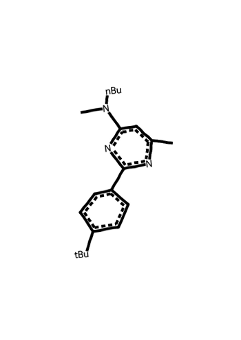 CCCCN(C)c1cc(C)nc(-c2ccc(C(C)(C)C)cc2)n1